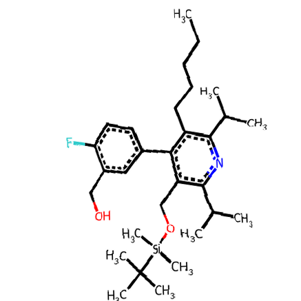 CCCCCc1c(C(C)C)nc(C(C)C)c(CO[Si](C)(C)C(C)(C)C)c1-c1ccc(F)c(CO)c1